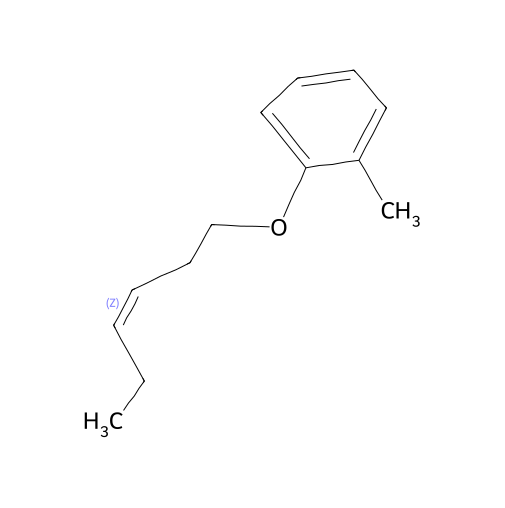 CC/C=C\CCOc1ccccc1C